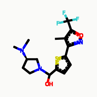 Cc1c(-c2ccc(C(O)N3CC[C@@H](N(C)C)C3)s2)noc1C(F)(F)F